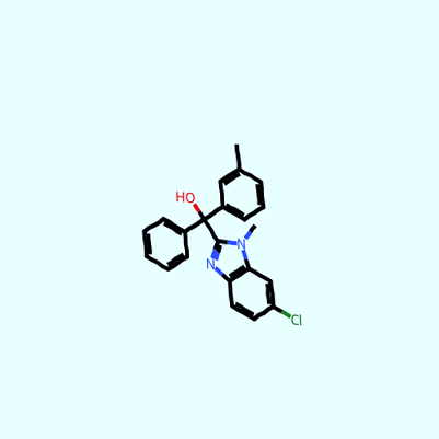 Cc1cccc(C(O)(c2ccccc2)c2nc3ccc(Cl)cc3n2C)c1